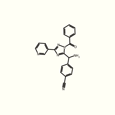 N#Cc1ccc(C(N)c2nc(-c3cccnc3)nn2C(=O)c2ccccc2)cc1